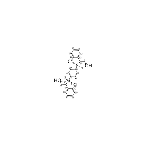 C[Si](C)(c1ccc([Si](C)(C)C(CO)c2ccccc2Cl)cc1)C(CO)c1ccccc1Cl